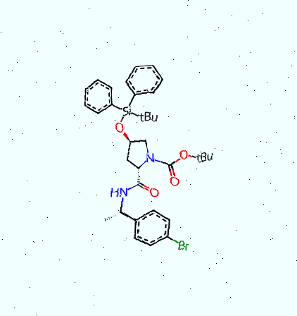 C[C@H](NC(=O)[C@@H]1C[C@@H](O[Si](c2ccccc2)(c2ccccc2)C(C)(C)C)CN1C(=O)OC(C)(C)C)c1ccc(Br)cc1